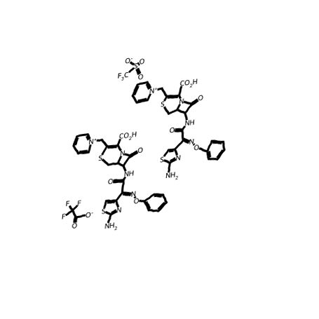 Nc1nc(C(=NOc2ccccc2)C(=O)NC2C(=O)N3C(C(=O)O)=C(C[n+]4ccccc4)SCC23)cs1.Nc1nc(C(=NOc2ccccc2)C(=O)NC2C(=O)N3C(C(=O)O)=C(C[n+]4ccccc4)SCC23)cs1.O=C([O-])C(F)(F)F.O=S(=O)([O-])C(F)(F)F